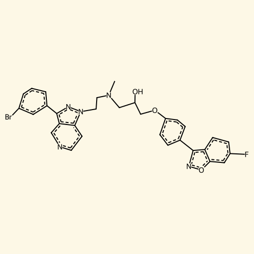 CN(CCn1nc(-c2cccc(Br)c2)c2cnccc21)CC(O)COc1ccc(-c2noc3cc(F)ccc23)cc1